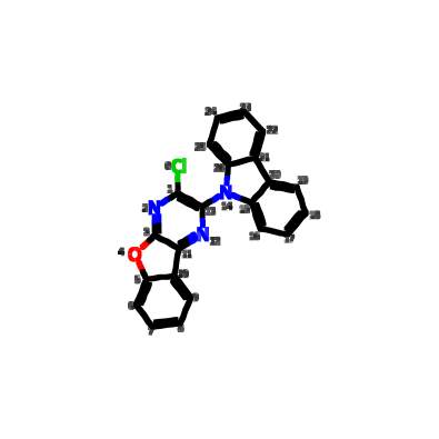 Clc1nc2oc3ccccc3c2nc1-n1c2ccccc2c2ccccc21